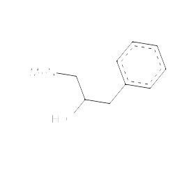 CNCC(C)Cc1ccccc1